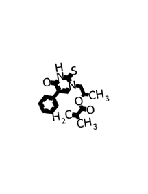 C=C(C)C(=O)OC(C)Cn1cc(-c2ccccc2)c(=O)[nH]c1=S